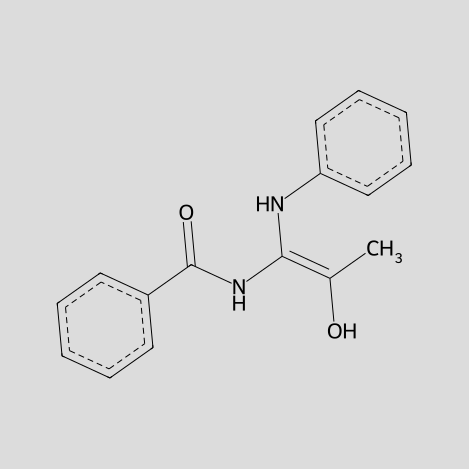 CC(O)=C(NC(=O)c1ccccc1)Nc1ccccc1